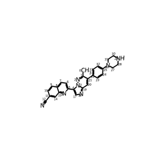 Cc1nn2c(-c3ccc4ccc(C#N)cc4n3)cnc2cc1-c1ccc(N2CCNCC2)cc1